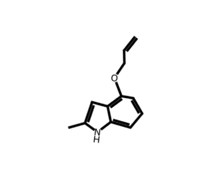 C=CCOc1cccc2[nH]c(C)cc12